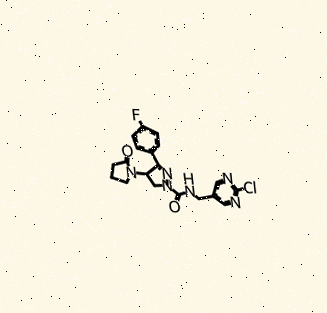 O=C(NCc1cnc(Cl)nc1)N1CC(N2CCCC2=O)C(c2ccc(F)cc2)=N1